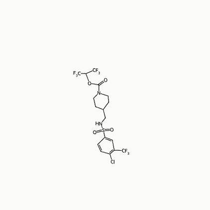 O=C(OC(C(F)(F)F)C(F)(F)F)N1CCC(CNS(=O)(=O)c2ccc(Cl)c(C(F)(F)F)c2)CC1